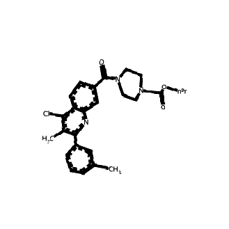 CCCOC(=O)N1CCN(C(=O)c2ccc3c(Cl)c(C)c(-c4cccc(C)c4)nc3c2)CC1